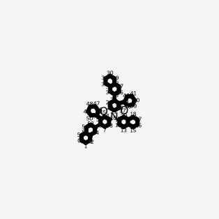 c1ccc2cc(-c3ccc(N(c4ccc5ccccc5c4)c4ccc(-c5ccc6ccccc6c5)c5c4oc4ccccc45)c4oc5ccccc5c34)ccc2c1